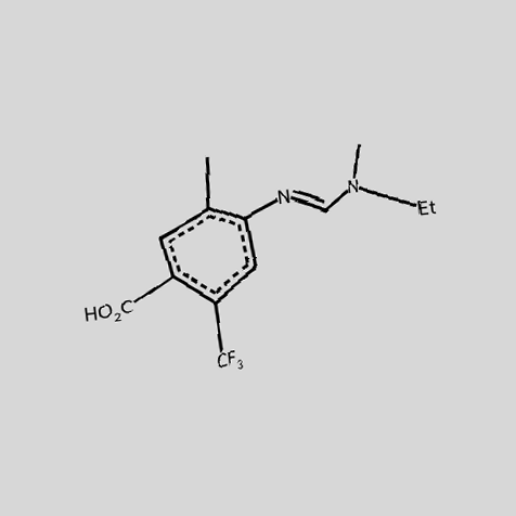 CCN(C)/C=N/c1cc(C(F)(F)F)c(C(=O)O)cc1C